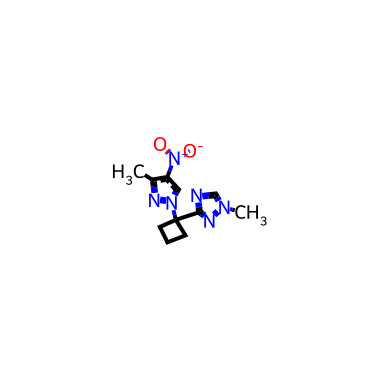 Cc1nn(C2(c3ncn(C)n3)CCC2)cc1[N+](=O)[O-]